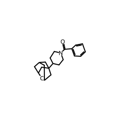 O=C(c1ccccc1)N1CCC(C23CC4CC(CC(C4)C2)C3)CC1